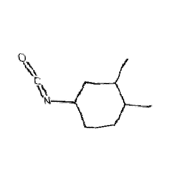 CC1CCC(N=C=O)CC1C